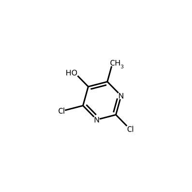 Cc1nc(Cl)nc(Cl)c1O